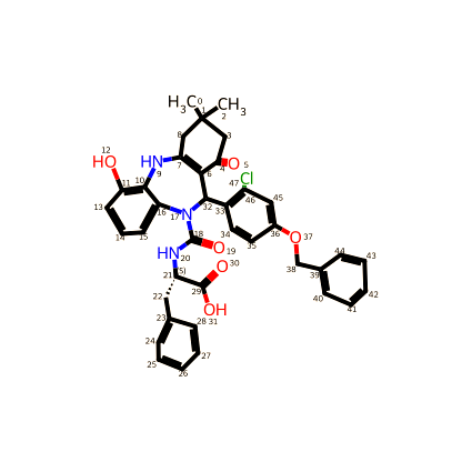 CC1(C)CC(=O)C2=C(C1)Nc1c(O)cccc1N(C(=O)N[C@@H](Cc1ccccc1)C(=O)O)C2c1ccc(OCc2ccccc2)cc1Cl